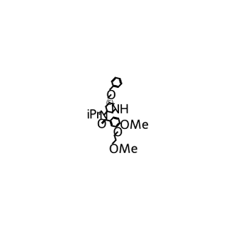 COCCCOc1cc(C(=O)N(C(C)C)C2CNC[C@@H](COCc3ccccc3)C2)ccc1OC